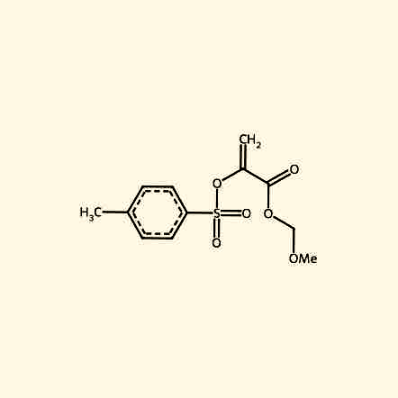 C=C(OS(=O)(=O)c1ccc(C)cc1)C(=O)OCOC